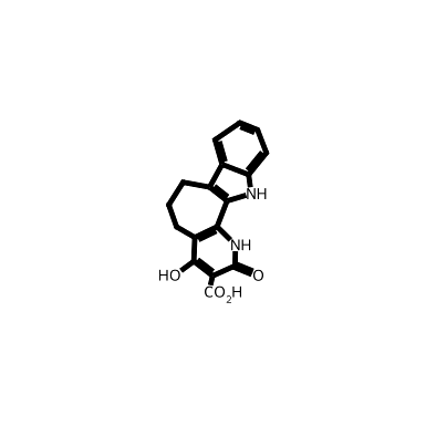 O=C(O)c1c(O)c2c([nH]c1=O)-c1[nH]c3ccccc3c1CCC2